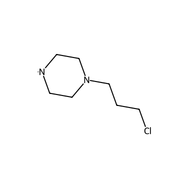 ClCCCN1CC[N]CC1